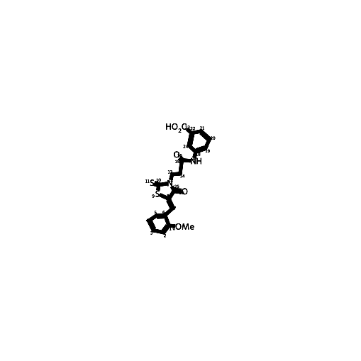 COc1ccccc1/C=C1\SC(=S)N(CCC(=O)Nc2cccc(C(=O)O)c2)C1=O